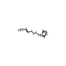 CCCC=CCCCCn1ccnc1